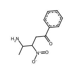 CC(N)C(CC(=O)c1ccccc1)[N+](=O)[O-]